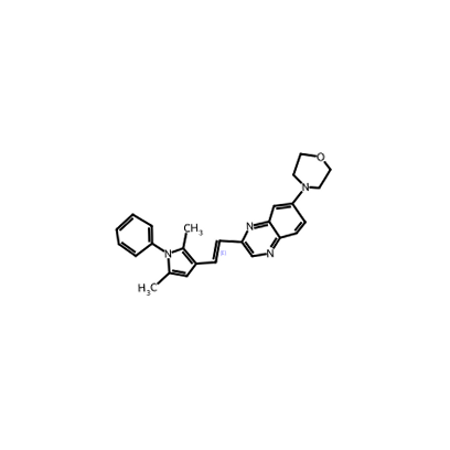 Cc1cc(/C=C/c2cnc3ccc(N4CCOCC4)cc3n2)c(C)n1-c1ccccc1